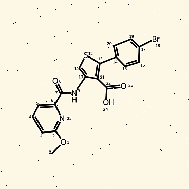 COc1cccc(C(=O)Nc2csc(-c3ccc(Br)cc3)c2C(=O)O)n1